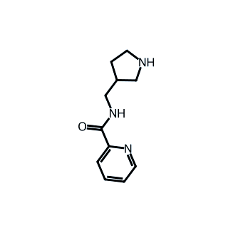 O=C(NCC1CCNC1)c1ccccn1